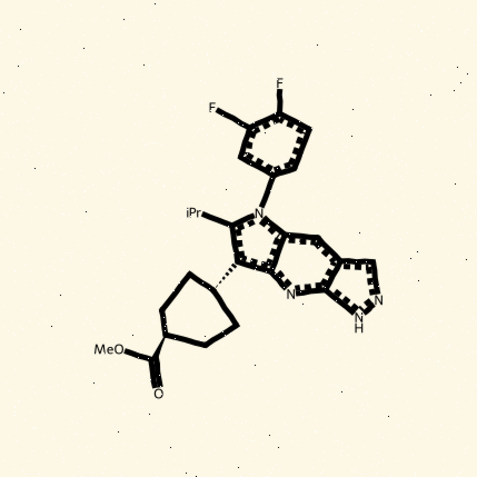 COC(=O)[C@H]1CC[C@H](c2c(C(C)C)n(-c3ccc(F)c(F)c3)c3cc4cn[nH]c4nc32)CC1